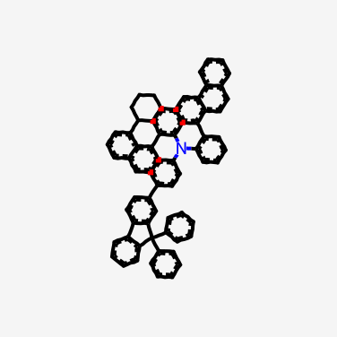 c1ccc(C2(c3ccccc3)c3ccccc3-c3ccc(-c4ccc(N(c5ccccc5-c5cccc6c5ccc5ccccc56)c5ccccc5-c5cccc6cccc(C7CCCCC7)c56)cc4)cc32)cc1